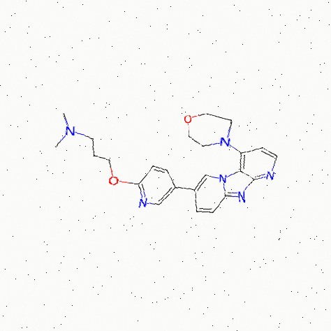 CN(C)CCCOc1ccc(-c2ccc3nc4nccc(N5CCOCC5)c4n3c2)cn1